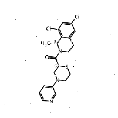 C[C@@H]1c2c(Cl)cc(Cl)cc2CCN1C(=O)[C@@H]1CN(c2cccnc2)CCS1